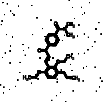 C=CCc1ccc(OCC)c(C=CC(=O)c2ccc(C(=O)N(C)C)cc2)c1OCC